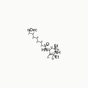 CCCCCCCCCCCCCCCCCC(=O)NC1CC(C)(CC)NC(C)(CC)C1C